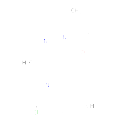 Cc1cc(Cl)nc(-c2c(C)nn3c(C)coc23)c1